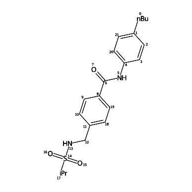 CCCCc1ccc(NC(=O)c2ccc(CNS(=O)(=O)C(C)C)cc2)cc1